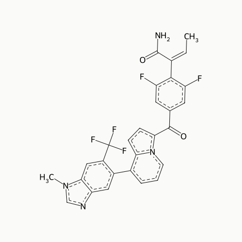 CC=C(C(N)=O)c1c(F)cc(C(=O)c2ccc3c(-c4cc5ncn(C)c5cc4C(F)(F)F)cccn23)cc1F